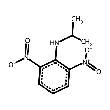 CC(C)Nc1c([N+](=O)[O-])cccc1[N+](=O)[O-]